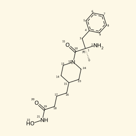 C[C@@](N)(Cc1ccccc1)C(=O)N1CCC(CCCC(=O)NO)CC1